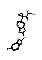 CN(C)C(=O)C1(c2ccc3oc(Nc4nc5cc(F)ccc5o4)nc3c2)CC1